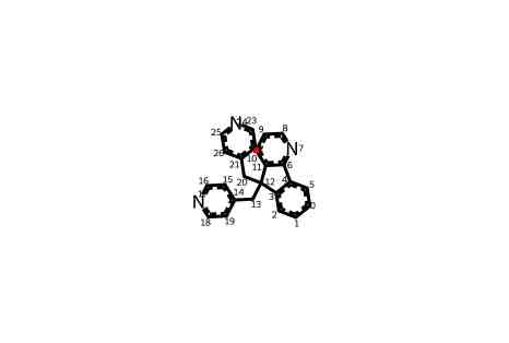 c1ccc2c(c1)-c1ncccc1C2(Cc1ccncc1)Cc1ccncc1